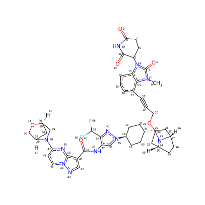 Cn1c(=O)n(C2CCC(=O)NC2=O)c2cccc(C#CCOC3C[C@H]4CC[C@@H](C3)N4C[C@H]3CC[C@H](n4cc(NC(=O)c5cnn6ccc(N7C[C@H]8C[C@@H]7CO8)nc56)c(C(F)F)n4)CC3)c21